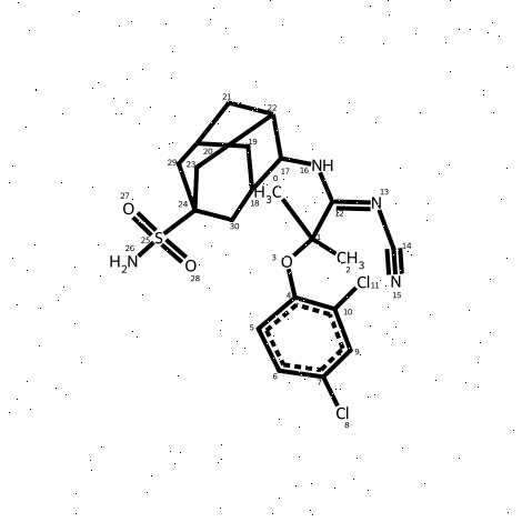 CC(C)(Oc1ccc(Cl)cc1Cl)/C(=N\C#N)NC1C2CC3CC1CC(S(N)(=O)=O)(C3)C2